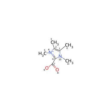 Cc1c(C)[n+](C)c(C(=O)[O-])n1C